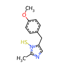 COc1ccc(Cc2cnc(C)n2S)cc1